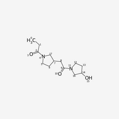 CCC(=O)N1CCC(CC(=O)N2CCC(O)C2)C1